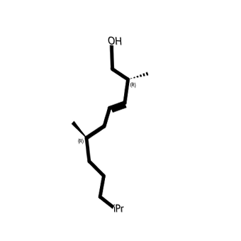 CC(C)CCC[C@@H](C)CC=C[C@@H](C)CO